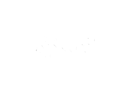 CCCCC(CC)/C(=C\C=C1/CCCC(/C=C/C2=[N+](CCC)c3ccccc3C2(C)C)=C1I)C(C)(C)c1ccccc1C